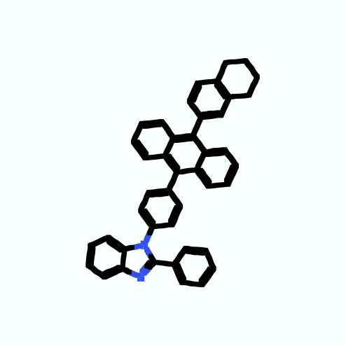 c1ccc(-c2nc3ccccc3n2-c2ccc(-c3c4ccccc4c(-c4ccc5c(c4)CCCC5)c4ccccc34)cc2)cc1